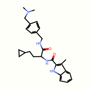 Cc1c(C(=O)NC(CCC2CC2)C(=O)NCc2ccc(CN(C)C)cc2)[nH]c2ccccc12